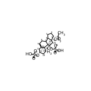 CC(=O)[C@H]1CCC2C3CC=C4C[C@@H](OS(=O)(=O)O)CC[C@]4(C)C3[C@@H](OS(=O)(=O)O)C[C@@]21C